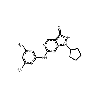 Cc1cc(Nc2cc3c(cn2)c(=O)[nH]n3C2CCCC2)nc(C)n1